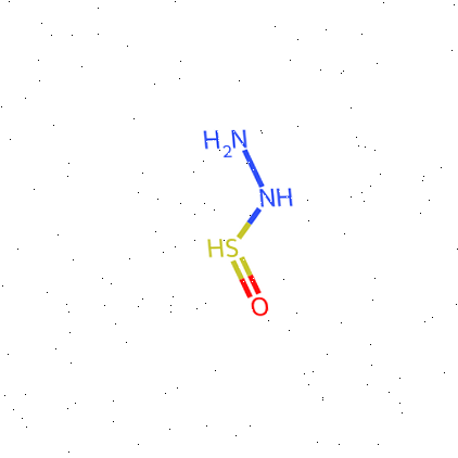 NN[SH]=O